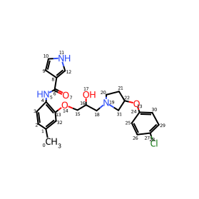 Cc1ccc(NC(=O)c2cc[nH]c2)c(OCC(O)CN2CCC(Oc3ccc(Cl)cc3)C2)c1